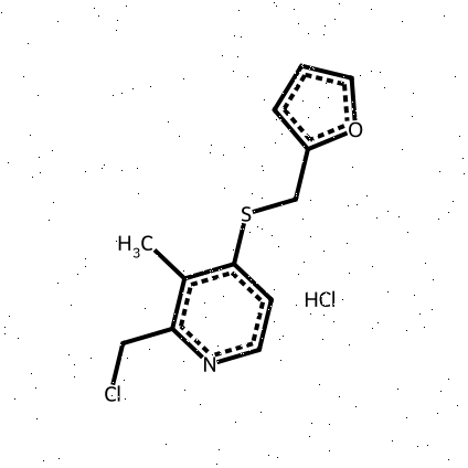 Cc1c(SCc2ccco2)ccnc1CCl.Cl